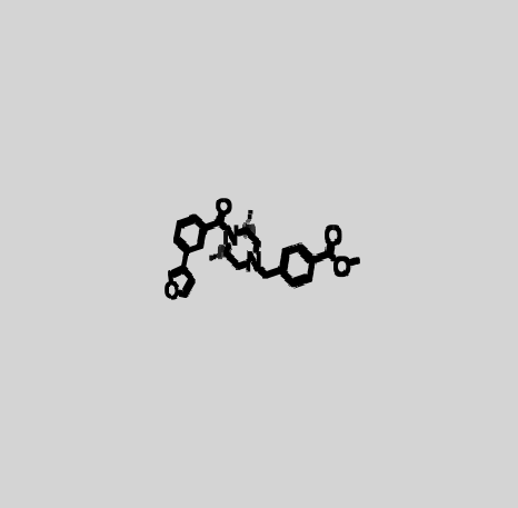 COC(=O)c1ccc(CN2C[C@@H](C)N(C(=O)c3cccc(-c4ccoc4)c3)[C@@H](C)C2)cc1